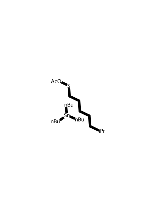 CC(=O)OSCCCCCC(C)C.CCC[CH2][Sn]([CH2]CCC)[CH2]CCC